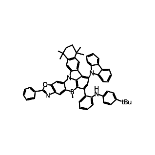 CB1c2cc3nc(-c4ccccc4)oc3cc2-n2c3cc4c(cc3c3c(-n5c6ccccc6c6ccccc65)cc(-c5ccccc5Nc5ccc(C(C)(C)C)cc5)c1c32)C(C)(C)CCC4(C)C